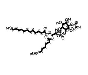 CCCCCCCCCCCCCCCC(=O)O[C@H](COC(=O)CCCCCCCCCCCS)COP(=O)(O)OC1C(O)[C@H](O)C(O)[C@H](OP(=O)(O)O)[C@@H]1O